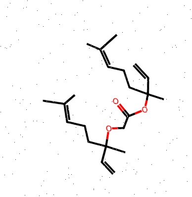 C=CC(C)(CCC=C(C)C)OCC(=O)OC(C)(C=C)CCC=C(C)C